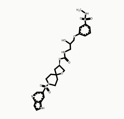 CNS(=O)(=O)c1cccc(OCC(O)CNC(=O)O[C@H]2COC3(CCN(S(=O)(=O)c4cnc5cc[nH]c5c4)CC3)C2)c1